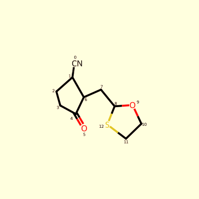 N#CC1CCC(=O)C1CC1OCCS1